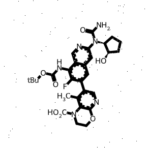 Cc1c(-c2cc3cc(N(C(N)=O)[C@H]4CCC[C@H]4O)ncc3c(NC(=O)OC(C)(C)C)c2F)cnc2c1N(C(=O)O)CCO2